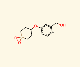 OCc1[c]ccc(OC2CCS3(CC2)OO3)c1